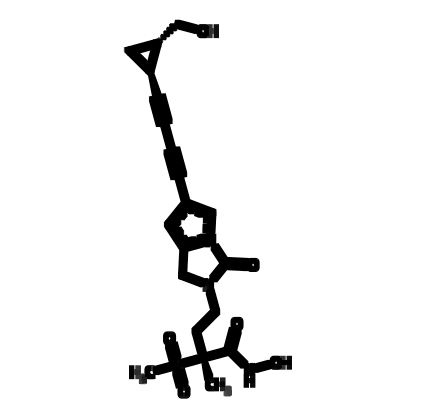 C[C@@](CCN1Cc2cc(C#CC#C[C@H]3C[C@@H]3CO)cn2C1=O)(C(=O)NO)S(C)(=O)=O